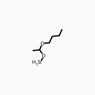 CCCCOC(C)O[SiH3]